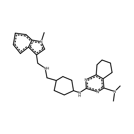 CN(C)c1nc(NC2CCC(CNCc3cn(C)c4ccccc34)CC2)nc2c1CCCC2